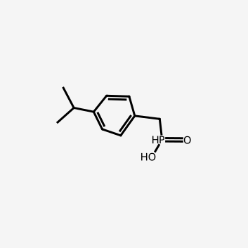 CC(C)c1ccc(C[PH](=O)O)cc1